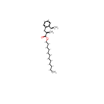 C=Cc1ccccc1CC(=C)C(=O)OCCCCCCCCCCCC